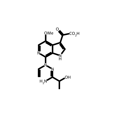 C=CN(/N=C(\N)C(C)O)c1ncc(OC)c2c(C(=O)C(=O)O)c[nH]c12